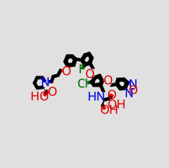 O=C(O)[C@@H](CO)NCc1cc(Cl)c(OCc2cccc(-c3cccc(OCCCCN4CCCC[C@H]4C(=O)O)c3)c2F)cc1OCc1ccc2nonc2c1